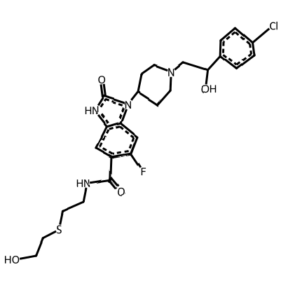 O=C(NCCSCCO)c1cc2[nH]c(=O)n(C3CCN(CC(O)c4ccc(Cl)cc4)CC3)c2cc1F